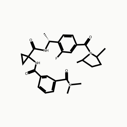 CC1CCC(C)N1C(=O)c1ccc([C@@H](C)NC(=O)C2(NC(=O)c3cccc(C(=O)N(C)C)c3)CC2)c(F)c1